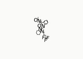 CC(=O)N1CC2(C1)C(=O)N(Cc1nc3c(n1CCCC(F)(F)F)CCCC3)c1ccccc12